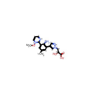 CON1C=CC=NC1c1cc(C)cc(-c2cnn(C[C@H](O)C(=O)O)c2)c1N